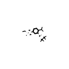 CCN(C)S(=O)(=O)c1ccc(C(C)C)c(B2OC(C)(C)C(C)(C)O2)c1